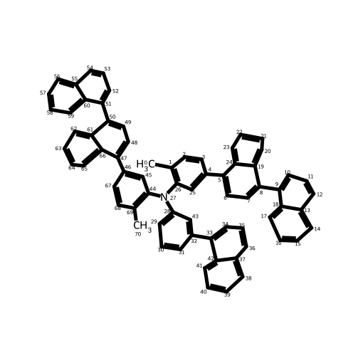 Cc1ccc(-c2ccc(-c3cccc4ccccc34)c3ccccc23)cc1N(c1cccc(-c2cccc3ccccc23)c1)c1cc(-c2ccc(-c3cccc4ccccc34)c3ccccc23)ccc1C